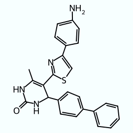 CC1=C(c2nc(-c3ccc(N)cc3)cs2)C(c2ccc(-c3ccccc3)cc2)NC(=O)N1